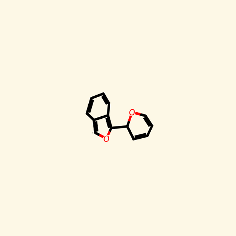 [c]1oc(C2C=CC=CO2)c2ccccc12